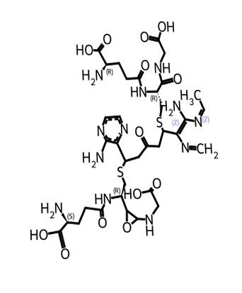 C=N/C(=C(N)\N=C/C)C(CC(=O)CC(SC[C@H](NC(=O)CC[C@H](N)C(=O)O)C1OC1NCC(=O)O)c1nccnc1N)SC[C@H](NC(=O)CC[C@@H](N)C(=O)O)C(=O)NCC(=O)O